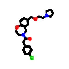 O=C(Cc1ccc(Cl)cc1)N1CCOc2ccc(COCCN3CCCC3)cc2C1